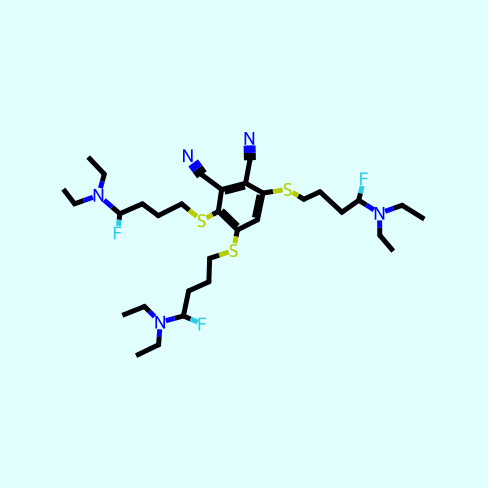 CCN(CC)C(F)CCCSc1cc(SCCCC(F)N(CC)CC)c(SCCCC(F)N(CC)CC)c(C#N)c1C#N